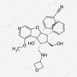 COc1cncc2c1[C@]1(O)[C@@H](CNC3COC3)[C@H](CO)[C@@H](c3ccccc3)[C@]1(c1ccc(C#N)cc1)O2